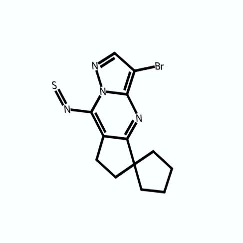 S=Nc1c2c(nc3c(Br)cnn13)C1(CCCC1)CC2